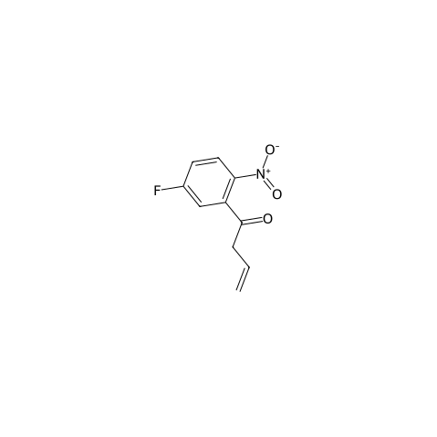 C=CCC(=O)c1cc(F)ccc1[N+](=O)[O-]